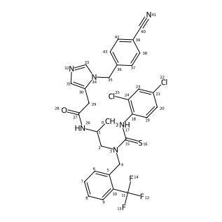 CC(CN(Cc1ccccc1C(F)(F)F)C(=S)Nc1ccc(Cl)cc1Cl)NC(=O)Cc1cncn1Cc1ccc(C#N)cc1